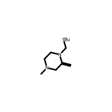 C=C1CN(C)CCN1CC(C)(C)C